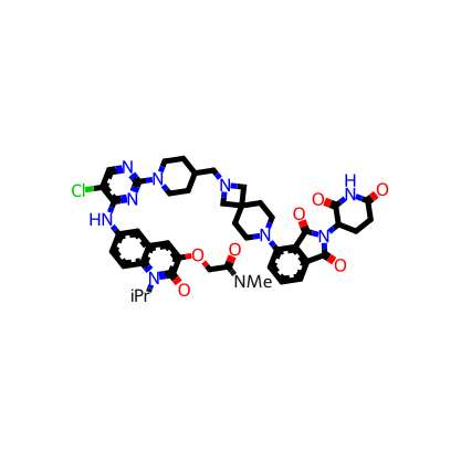 CNC(=O)COc1cc2cc(Nc3nc(N4CCC(CN5CC6(CCN(c7cccc8c7C(=O)N(C7CCC(=O)NC7=O)C8=O)CC6)C5)CC4)ncc3Cl)ccc2n(C(C)C)c1=O